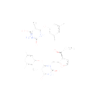 CCc1c(Oc2cc(C)cc(C)c2)[nH]c(=O)[nH]c1=O.CCc1c(Oc2cc(C)cc(C)c2)n(Cc2occc2C(=O)OC)c(=O)[nH]c1=O